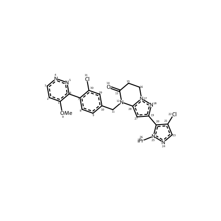 COc1ccnnc1-c1ccc(CN2C(=O)CCn3nc(-c4c(Cl)cnn4C(C)C)cc32)cc1Cl